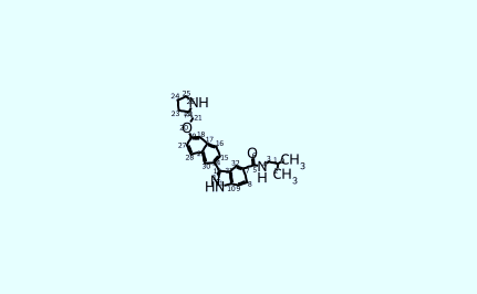 CC(C)CNC(=O)c1ccc2[nH]nc(-c3ccc4cc(OC[C@@H]5CCCN5)ccc4c3)c2c1